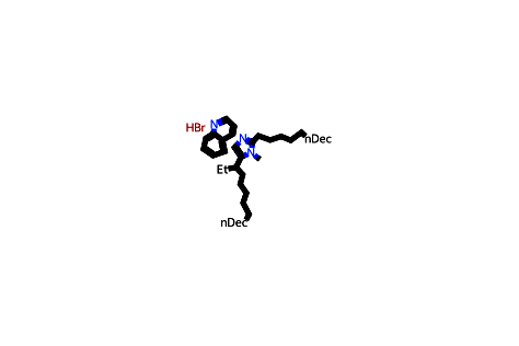 Br.CCCCCCCCCCCCCCCc1ncc(C(CC)CCCCCCCCCCCCCCC)n1C.c1ccc2ncccc2c1